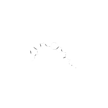 COc1cccc(-c2cnc(N3[C@H](C)Cc4nc(NC(=O)NCC(C)(C)O)sc4[C@@H]3C)o2)n1